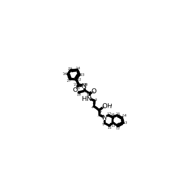 O=C(NCCC(O)CN1CCC2C=CC=CC2C1)C1COC(c2ccccc2)=N1